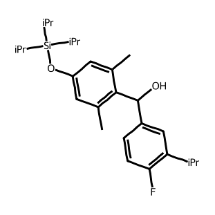 Cc1cc(O[Si](C(C)C)(C(C)C)C(C)C)cc(C)c1C(O)c1ccc(F)c(C(C)C)c1